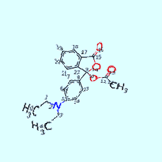 CCN(CC)c1ccc(C2(OC(C)=O)OC(=O)c3ccccc32)cc1